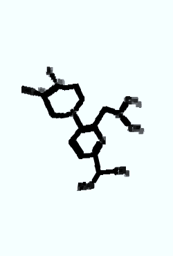 CSC(C)c1ccc(N2CC[C@@H](F)[C@H](O)C2)c(CN(C)C)n1